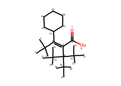 CC(C)(C)C(=C(C(=O)O)C(C(C)(C)C)(C(C)(C)C)C(C)(C)C)C1CCCCC1